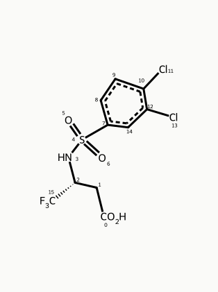 O=C(O)C[C@@H](NS(=O)(=O)c1ccc(Cl)c(Cl)c1)C(F)(F)F